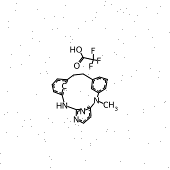 CN1c2cccc(c2)CCc2cccc(c2)Nc2nccc1n2.O=C(O)C(F)(F)F